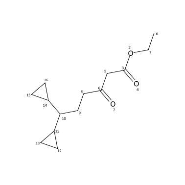 CCOC(=O)CC(=O)CCC(C1CC1)C1CC1